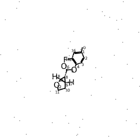 Cc1ccc(OC(=O)[C@H]2[C@@H]3CCO[C@@H]32)c(F)c1